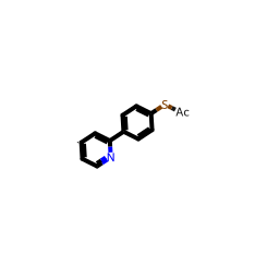 CC(=O)Sc1ccc(-c2c[c]ccn2)cc1